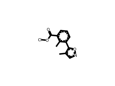 Cc1cnoc1-c1cccc(C(=O)OCl)c1C